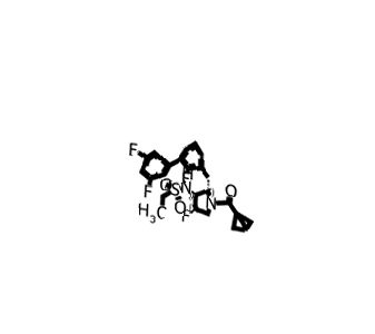 CCS(=O)(=O)N[C@H]1[C@@H](F)CN(C(=O)C23CC(C2)C3)[C@H]1Cc1cccc(-c2cc(F)cc(F)c2)c1F